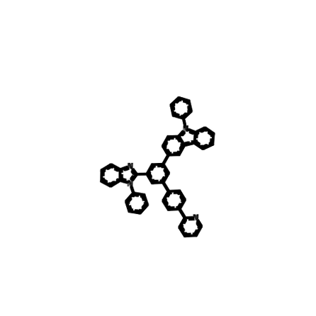 c1ccc(-n2c(-c3cc(-c4ccc(-c5ccccn5)cc4)cc(-c4ccc5c(c4)c4ccccc4n5-c4ccccc4)c3)nc3ccccc32)cc1